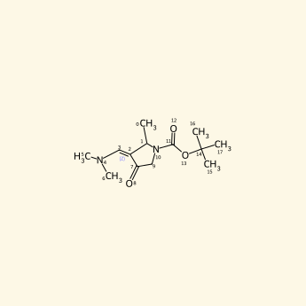 CC1/C(=C/N(C)C)C(=O)CN1C(=O)OC(C)(C)C